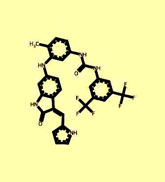 Cc1ccc(NC(=O)Nc2cc(C(F)(F)F)cc(C(F)(F)F)c2)cc1Nc1ccc2c(c1)NC(=O)C2=Cc1ccc[nH]1